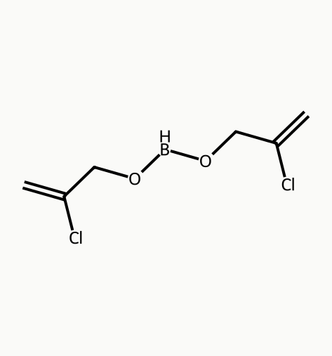 C=C(Cl)COBOCC(=C)Cl